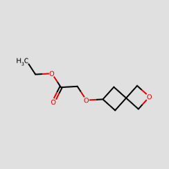 CCOC(=O)COC1CC2(COC2)C1